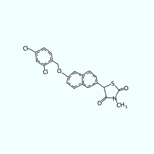 CN1C(=O)SC(c2ccc3cc(OCc4ccc(Cl)cc4Cl)ccc3c2)C1=O